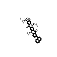 Cn1c2ccc(-c3cccc4ccccc34)cc2c(=O)c2cc3c(cc21)c(=O)c1cc(C(C)(C)C)ccc1n3C